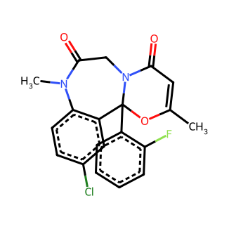 CC1=CC(=O)N2CC(=O)N(C)c3ccc(Cl)cc3C2(c2ccccc2F)O1